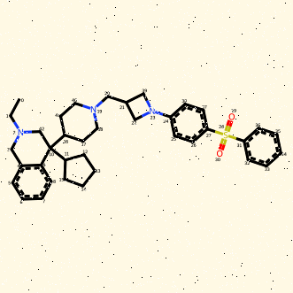 CCN1Cc2ccccc2C(C2CCCC2)(C2CCN(CC3CN(c4ccc(S(=O)(=O)c5ccccc5)cc4)C3)CC2)C1